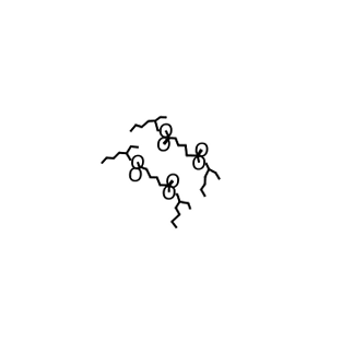 CCCCC(CC)COC(=O)CCCCC(=O)OCC(CC)CCCC.CCCCC(CC)COC(=O)CCCCC(=O)OCC(CC)CCCC